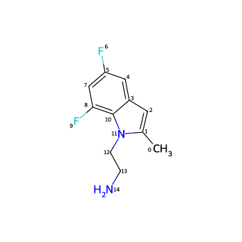 Cc1cc2cc(F)cc(F)c2n1CCN